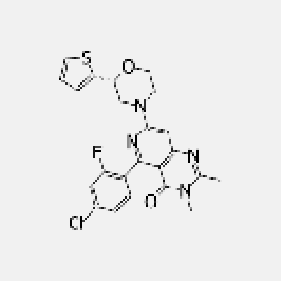 Cc1nc2cc(N3CCO[C@@H](c4cccs4)C3)nc(-c3ccc(Cl)cc3F)c2c(=O)n1C